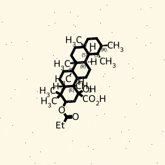 CCC(=O)OC1CC(O)(C(=O)O)[C@]2(C)[C@H]3CC[C@@H]4[C@@H]5[C@@H](C)[C@H](C)CC[C@]5(C)CC[C@@]4(C)[C@]3(C)CC[C@H]2C1(C)C